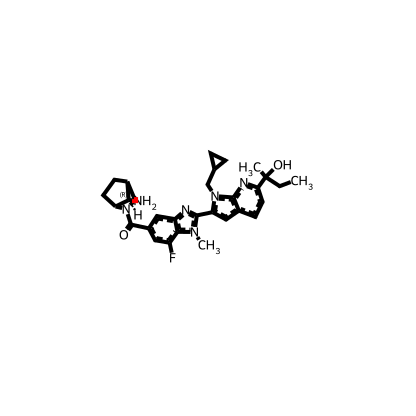 CCC(C)(O)c1ccc2cc(-c3nc4cc(C(=O)N5CC6CCC5[C@@H]6N)cc(F)c4n3C)n(CC3CC3)c2n1